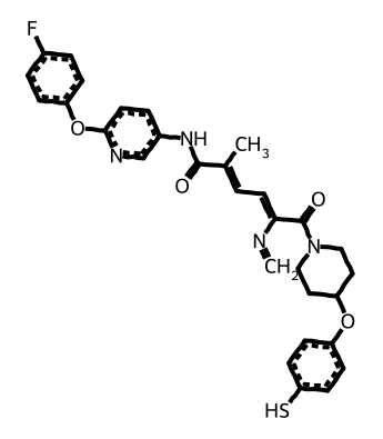 C=N/C(=C\C=C(/C)C(=O)Nc1ccc(Oc2ccc(F)cc2)nc1)C(=O)N1CCC(Oc2ccc(S)cc2)CC1